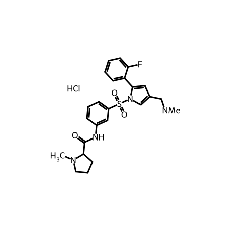 CNCc1cc(-c2ccccc2F)n(S(=O)(=O)c2cccc(NC(=O)C3CCCN3C)c2)c1.Cl